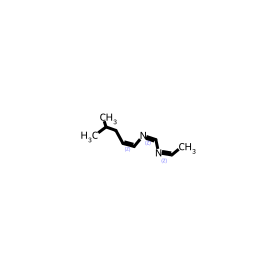 C\C=N/C=N\C=C/CC(C)C